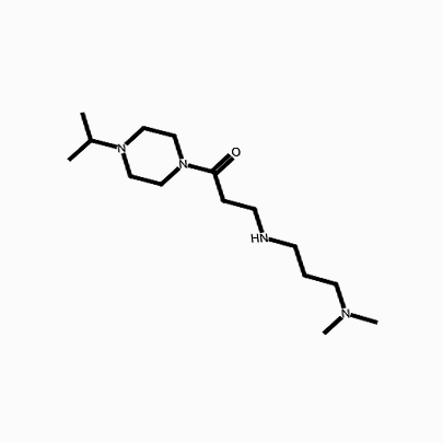 CC(C)N1CCN(C(=O)CCNCCCN(C)C)CC1